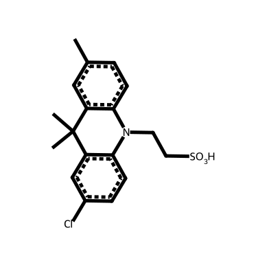 Cc1ccc2c(c1)C(C)(C)c1cc(Cl)ccc1N2CCS(=O)(=O)O